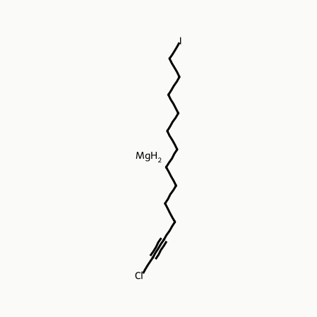 ClC#CCCCCCCCCCCI.[MgH2]